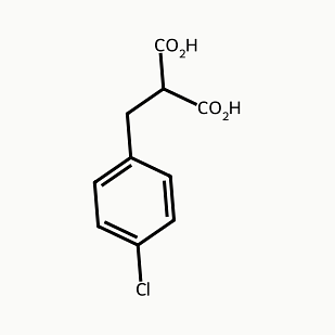 O=C(O)C(Cc1ccc(Cl)cc1)C(=O)O